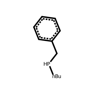 CCCCPCc1ccccc1